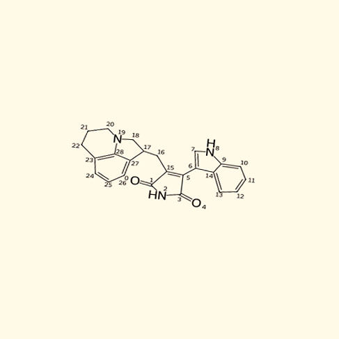 O=C1NC(=O)C(c2c[nH]c3ccccc23)=C1CC1CN2CCCc3cccc1c32